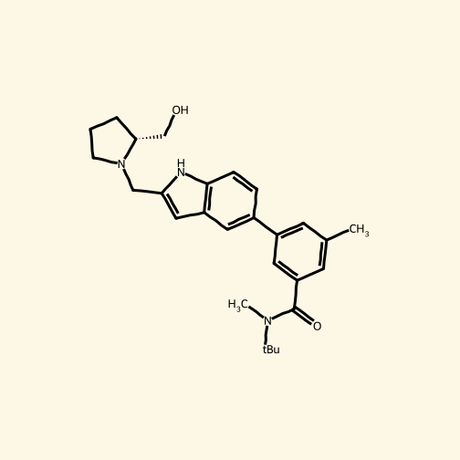 Cc1cc(C(=O)N(C)C(C)(C)C)cc(-c2ccc3[nH]c(CN4CCC[C@@H]4CO)cc3c2)c1